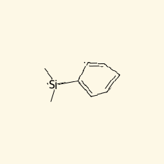 C[Si](C)c1[c]cccc1